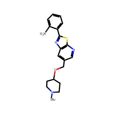 CC(C)(C)N1CCC(OCc2cnc3sc(-c4ccccc4[N+](=O)[O-])nc3c2)CC1